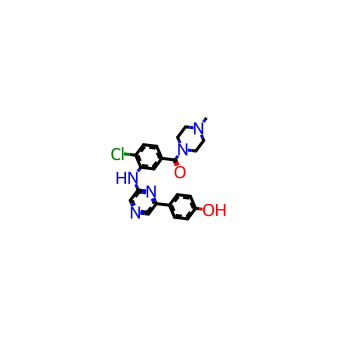 CN1CCN(C(=O)c2ccc(Cl)c(Nc3cncc(-c4ccc(O)cc4)n3)c2)CC1